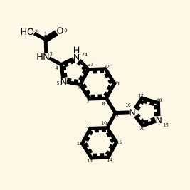 O=C(O)Nc1nc2cc(C(c3ccccc3)n3ccnc3)ccc2[nH]1